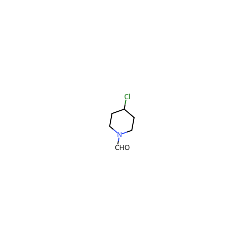 O=CN1CCC(Cl)CC1